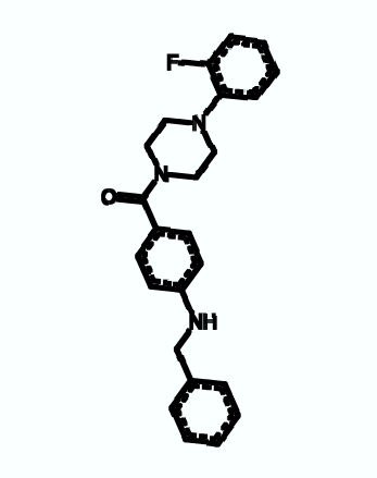 O=C(c1ccc(NCc2ccccc2)cc1)N1CCN(c2ccccc2F)CC1